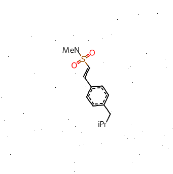 CNS(=O)(=O)/C=C/c1ccc(CC(C)C)cc1